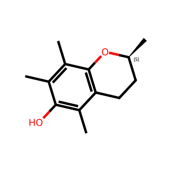 Cc1c(C)c2c(c(C)c1O)CC[C@H](C)O2